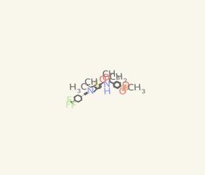 C=C(OC)[C@H](NC(=O)c1cc2c(s1)[C@H](C(C)C)N(C#C[C@H]1CC[C@H](C(F)(F)F)CC1)C2)c1ccc(S(=O)(=O)CC)cc1